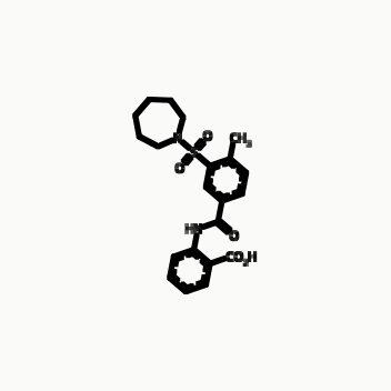 Cc1ccc(C(=O)Nc2ccccc2C(=O)O)cc1S(=O)(=O)N1CCCCCC1